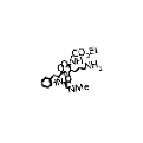 CCOC(=O)CNC(=O)C(CCCN)NC(=O)C(Cc1ccccc1)NC(=O)CNC